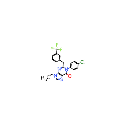 CCn1cnc2c(=O)n(-c3ccc(Cl)cc3)c(Cc3cccc(C(F)(F)F)c3)nc21